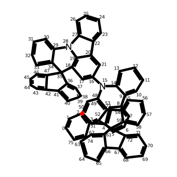 c1ccc(-c2cccc(-c3ccccc3N(c3cc4c5c(c3)c3ccccc3n5-c3ccccc3C43c4ccccc4-c4ccccc43)c3cccc4c3-c3ccccc3C43c4ccccc4-c4ccccc43)c2)cc1